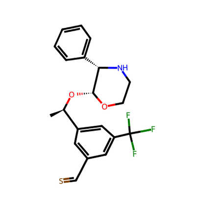 C[C@@H](O[C@H]1OCCN[C@H]1c1ccccc1)c1cc(C=S)cc(C(F)(F)F)c1